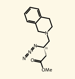 COC(=O)C[C@@H](CN1CCc2ccccc2C1)N=[N+]=[N-]